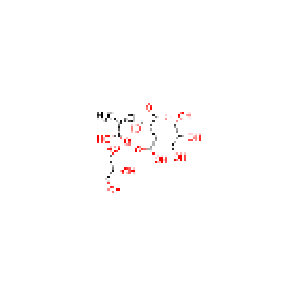 C=C(C)C(=O)O.O=C(O)CC(O)C(=O)O.OCC(O)CO.OCC(O)CO